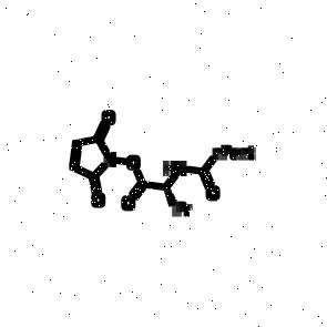 CCCCCC(=O)N[C@H](C(=O)ON1C(=O)C=CC1=O)C(C)C